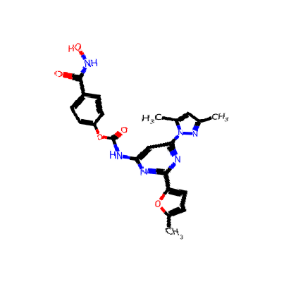 Cc1cc(C)n(-c2cc(NC(=O)Oc3ccc(C(=O)NO)cc3)nc(-c3ccc(C)o3)n2)n1